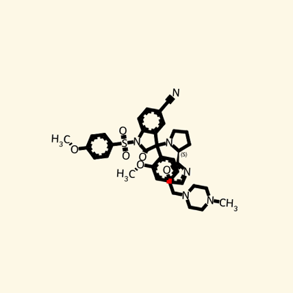 COc1ccc(S(=O)(=O)N2C(=O)C(c3ccc(CN4CCN(C)CC4)cc3OC)(N3CCC[C@H]3c3ncco3)c3cc(C#N)ccc32)cc1